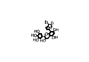 CCC1C(=O)Cn2c(-c3c(O)cc(O)c4c3O[C@H](c3cc(O)c(O)c(O)c3)[C@@H](O)C4)ccc21